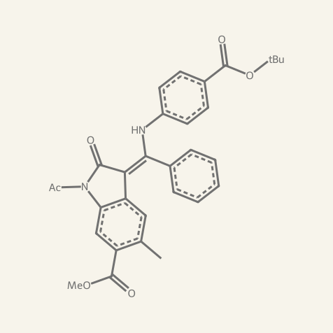 COC(=O)c1cc2c(cc1C)/C(=C(/Nc1ccc(C(=O)OC(C)(C)C)cc1)c1ccccc1)C(=O)N2C(C)=O